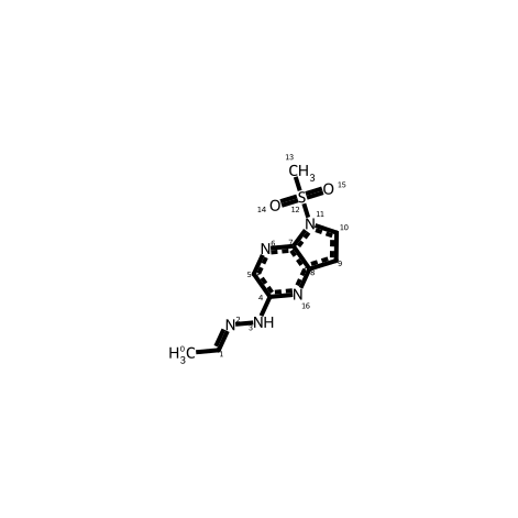 C/C=N/Nc1cnc2c(ccn2S(C)(=O)=O)n1